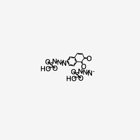 O=C1C=Cc2ccccc2C1=O.[N-]=[N+]=NS(=O)(=O)O.[N-]=[N+]=NS(=O)(=O)O